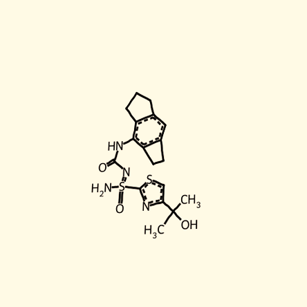 CC(C)(O)c1csc(S(N)(=O)=NC(=O)Nc2c3c(cc4c2CC4)CCC3)n1